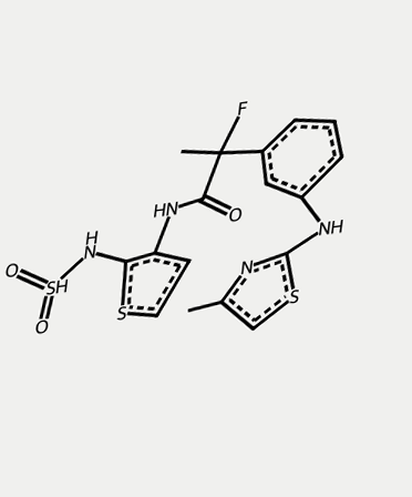 Cc1csc(Nc2cccc(C(C)(F)C(=O)Nc3ccsc3N[SH](=O)=O)c2)n1